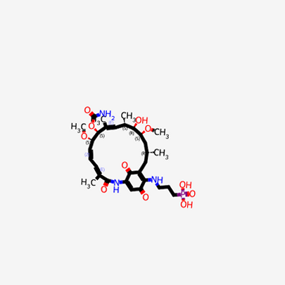 CO[C@H]1/C=C\C=C(/C)C(=O)NC2=CC(=O)C(NCCCP(=O)(O)O)=C(C[C@@H](C)C[C@H](OC)[C@H](O)[C@@H](C)/C=C(\C)[C@@H]1OC(N)=O)C2=O